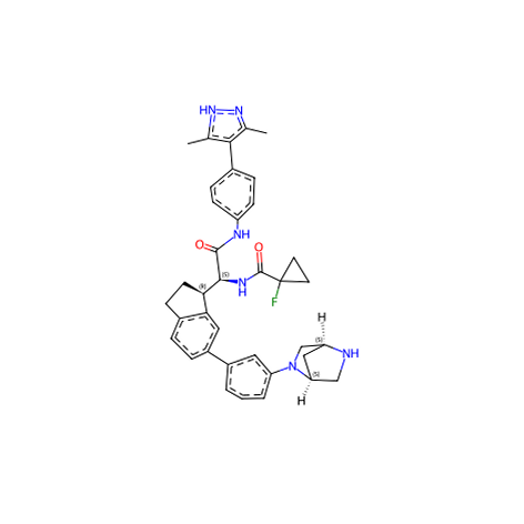 Cc1n[nH]c(C)c1-c1ccc(NC(=O)[C@@H](NC(=O)C2(F)CC2)[C@@H]2CCc3ccc(-c4cccc(N5C[C@@H]6C[C@H]5CN6)c4)cc32)cc1